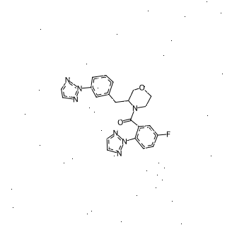 O=C(c1cc(F)ccc1-n1nccn1)N1CCOCC1Cc1cccc(-n2nccn2)c1